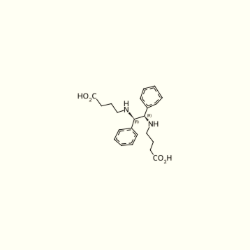 O=C(O)CCCN[C@H](c1ccccc1)[C@H](NCCCC(=O)O)c1ccccc1